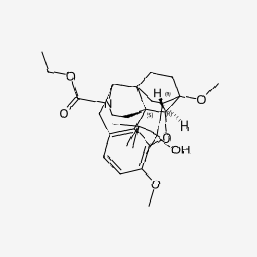 CCOC(=O)N1CC[C@]23c4c5ccc(OC)c4O[C@H]2C2(OC)CCC3(C[C@@H]2C(C)(O)C(C)(C)C)C1C5